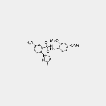 COc1ccc(CNS(=O)(=O)c2cc(N)ccc2-n2ccc(C)n2)c(OC)c1